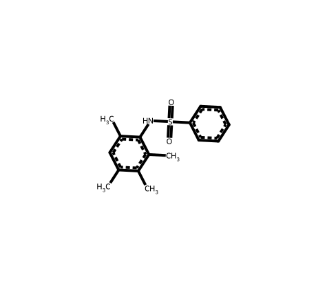 Cc1cc(C)c(NS(=O)(=O)c2ccccc2)c(C)c1C